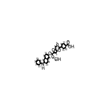 CN(Cc1ccc(C(=O)Oc2ccc3cc(Nc4ccccc4)ccc3c2)o1)C(=O)c1ccc(C(=O)O)cc1.Cl